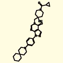 O=C(C1CC1)N1CCC(O)(Cn2cnc3c(cnn3-c3ccc(N4CCC5(CCCCC5)CC4)cc3)c2=O)CC1